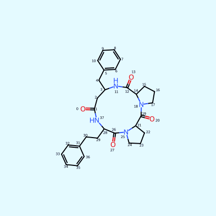 O=C1CC(Cc2ccccc2)NC(=O)C2CCCN2C(=O)C2CCCN2C(=O)C(CCc2ccccc2)N1